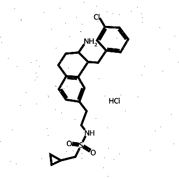 Cl.NC1CCc2ccc(CCNS(=O)(=O)CC3CC3)cc2C1Cc1cccc(Cl)c1